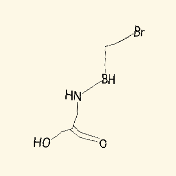 O=C(O)NBCBr